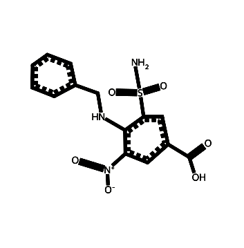 NS(=O)(=O)c1cc(C(=O)O)cc([N+](=O)[O-])c1NCc1ccccc1